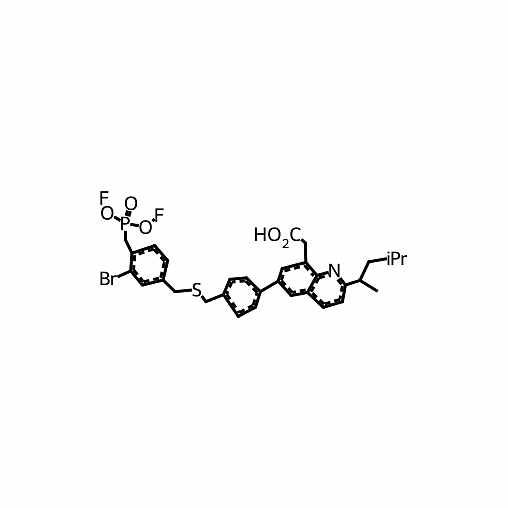 CC(C)CC(C)c1ccc2cc(-c3ccc(CSCc4ccc(CP(=O)(OF)OF)c(Br)c4)cc3)cc(CC(=O)O)c2n1